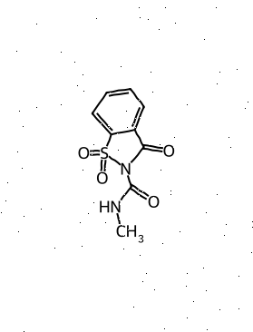 CNC(=O)N1C(=O)c2ccccc2S1(=O)=O